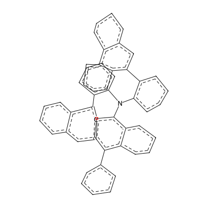 c1ccc(-c2ccc(N(c3ccccc3-c3cccc4ccccc34)c3ccccc3-c3cc4ccccc4c4ccccc34)c3ccccc23)cc1